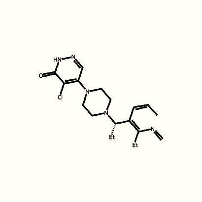 C=N/C(CC)=C(\C=C/C)[C@H](CC)N1CCN(c2cn[nH]c(=O)c2Cl)CC1